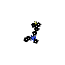 c1ccc(-c2nc(-c3ccc(-c4ccc5c(c4)c4cccc6sc7cccc5c7c64)cc3)nc(-c3ccc4ccccc4c3)n2)cc1